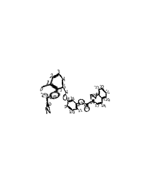 Cc1cccc(COc2cccc(OC(=O)c3ccc4ccccc4n3)c2)c1OCC#N